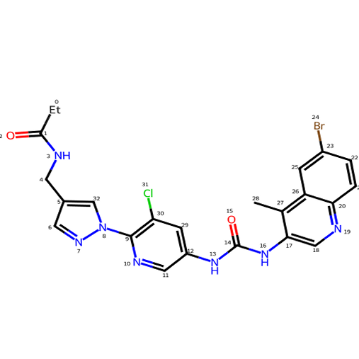 CCC(=O)NCc1cnn(-c2ncc(NC(=O)Nc3cnc4ccc(Br)cc4c3C)cc2Cl)c1